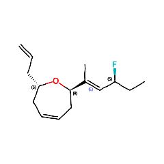 C=CC[C@H]1CC=CC[C@H](/C(C)=C/[C@@H](F)CC)O1